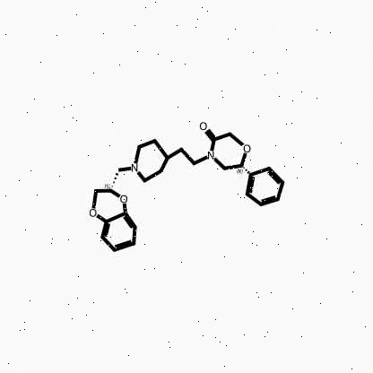 O=C1CO[C@H](c2ccccc2)CN1CCC1CCN(C[C@H]2COc3ccccc3O2)CC1